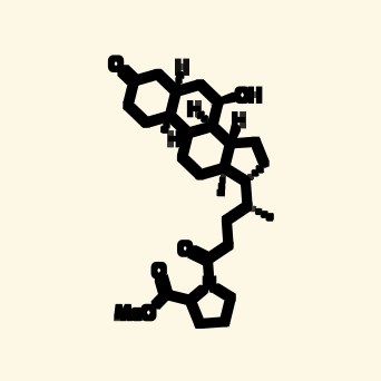 COC(=O)C1CCCN1C(=O)CC[C@@H](C)[C@H]1CC[C@H]2[C@@H]3[C@H](O)C[C@@H]4CC(=O)CC[C@]4(C)[C@H]3CC[C@]12C